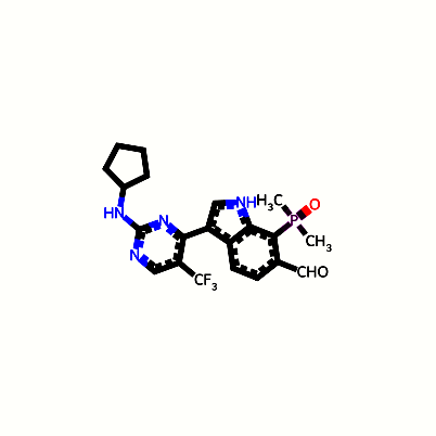 CP(C)(=O)c1c(C=O)ccc2c(-c3nc(NC4CCCC4)ncc3C(F)(F)F)c[nH]c12